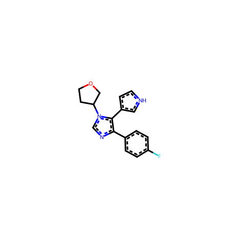 Fc1ccc(-c2ncn(C3CCOC3)c2-c2cc[nH]c2)cc1